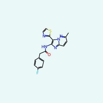 Cc1ccc2nc(NC(=O)Cc3ccc(F)cc3)c(-c3nccs3)n2n1